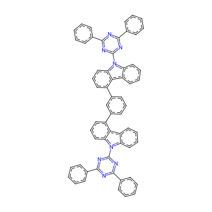 c1ccc(-c2nc(-c3ccccc3)nc(-n3c4ccccc4c4c(-c5cccc(-c6cccc7c6c6ccccc6n7-c6nc(-c7ccccc7)nc(-c7ccccc7)n6)c5)cccc43)n2)cc1